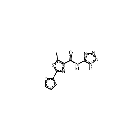 Cc1sc(-c2ccco2)nc1C(=O)Nc1nnn[nH]1